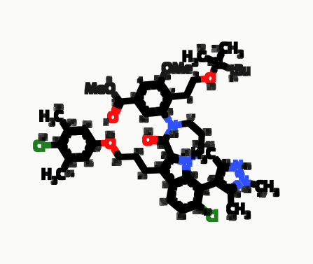 COC(=O)c1cc(OC)c(CCO[Si](C)(C)C(C)(C)C)c(N2CCCn3c(c(CCCOc4cc(C)c(Cl)c(C)c4)c4ccc(Cl)c(-c5c(C)nn(C)c5C)c43)C2=O)c1